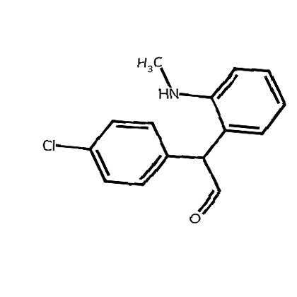 CNc1ccccc1C(C=O)c1ccc(Cl)cc1